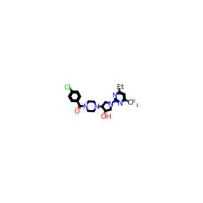 CCc1cc(C(F)(F)F)nc(N2CC(O)C(N3CCN(C(=O)c4ccc(Cl)cc4)CC3)C2)n1